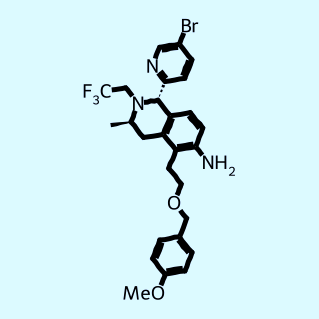 COc1ccc(COCCc2c(N)ccc3c2C[C@@H](C)N(CC(F)(F)F)[C@@H]3c2ccc(Br)cn2)cc1